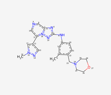 Cc1cc(Nc2nc3cncc(-c4cnn(C)c4)n3n2)ccc1CN1CCOCC1